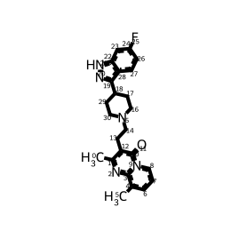 Cc1nc2c(C)cccn2c(=O)c1CCN1CCC(c2n[nH]c3cc(F)ccc23)CC1